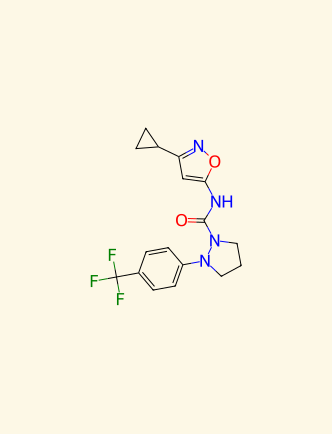 O=C(Nc1cc(C2CC2)no1)N1CCCN1c1ccc(C(F)(F)F)cc1